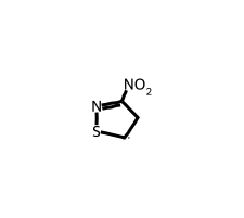 O=[N+]([O-])C1=NS[CH]C1